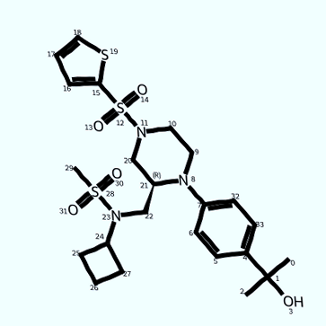 CC(C)(O)c1ccc(N2CCN(S(=O)(=O)c3cccs3)C[C@@H]2CN(C2CCC2)S(C)(=O)=O)cc1